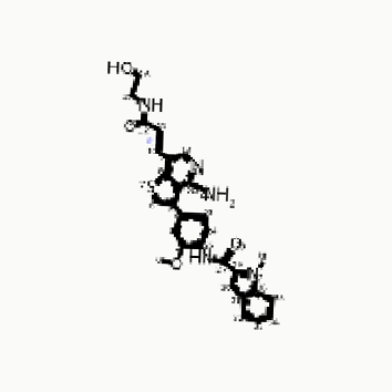 COc1cc(-c2csc3c(/C=C/C(=O)NCCO)cnc(N)c23)ccc1NC(=O)c1cc2ccccc2n1C